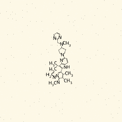 C=Nn1cc(-c2[nH]c3ccc(N4CCC(N(C)Cc5ncccn5)CC4)nc3c2C(C)C)c(C)c(C)/c1=N/C